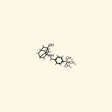 C[Si](C)(C)c1ccc(CNC23CC4CC(CC(O)(C4)C2)C3)cc1